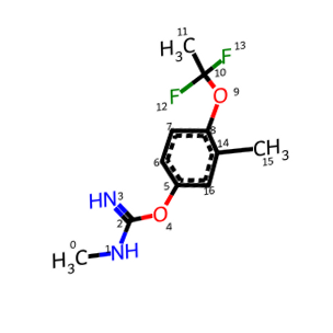 CNC(=N)Oc1ccc(OC(C)(F)F)c(C)c1